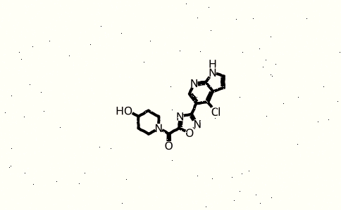 O=C(c1nc(-c2cnc3[nH]ccc3c2Cl)no1)N1CCC(O)CC1